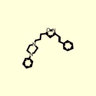 C(=Cc1cc(CCCN2CCN(c3ccccc3)CC2)on1)c1ccccc1